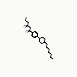 CCCCCCCC1CCC(c2ccc(C(=O)CC(=O)CCC)cc2)CC1